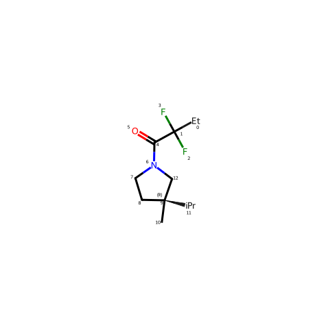 CCC(F)(F)C(=O)N1CC[C@](C)(C(C)C)C1